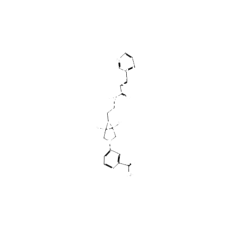 NC(=O)c1cccc(N2C[C@@H]3C(CCNC(=O)/C=C/c4cccnc4)[C@@H]3C2)c1